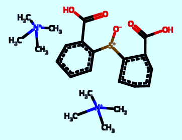 C[N+](C)(C)C.C[N+](C)(C)C.O=C(O)c1ccccc1[S+]([O-])c1ccccc1C(=O)O